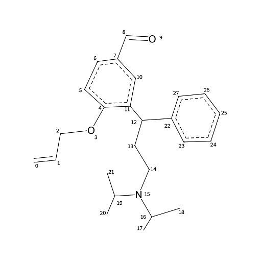 C=CCOc1ccc(C=O)cc1C(CCN(C(C)C)C(C)C)c1ccccc1